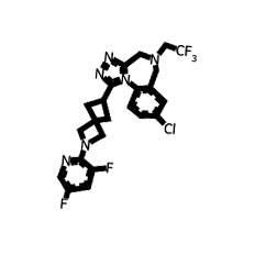 Fc1cnc(N2CC3(CC(c4nnc5n4-c4ccc(Cl)cc4CN(CC(F)(F)F)C5)C3)C2)c(F)c1